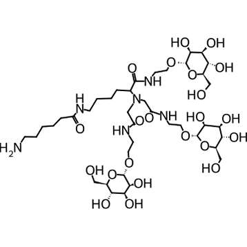 NCCCCCC(=O)NCCCCC(C(=O)NCCO[C@H]1O[C@H](CO)[C@@H](O)[C@H](O)[C@@H]1O)N(CC(=O)NCCO[C@H]1O[C@H](CO)[C@@H](O)[C@H](O)[C@@H]1O)CC(=O)NCCO[C@H]1O[C@H](CO)[C@@H](O)[C@H](O)[C@@H]1O